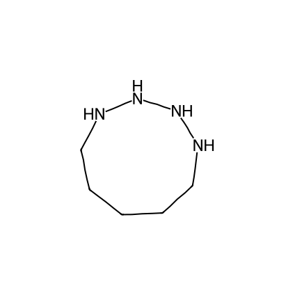 C1CCNNNNCC1